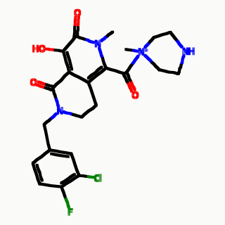 Cn1c(C(=O)[N+]2(C)CCNCC2)c2c(c(O)c1=O)C(=O)N(Cc1ccc(F)c(Cl)c1)CC2